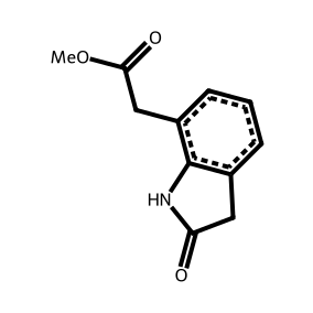 COC(=O)Cc1cccc2c1NC(=O)C2